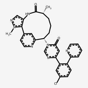 C[C@@H]1CCC[C@H](n2cnc(-c3cc(Cl)ccc3-c3ccccn3)cc2=O)c2cc(ccn2)-c2c(cnn2C)NC1=O